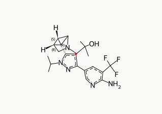 CC(C)n1nc(-c2cnc(N)c(C(F)(F)F)c2)cc1[C@@]12C3[C@H]1[C@H]2CN3CC(C)(C)O